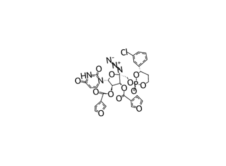 [N-]=[N+]=N[C@]1(COP2(=O)OCC[C@@H](c3cccc(Cl)c3)O2)O[C@@H](n2ccc(=O)[nH]c2=O)[C@H](OC(=O)c2ccoc2)[C@@H]1OC(=O)c1ccoc1